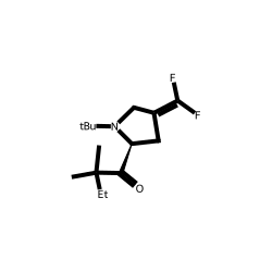 CCC(C)(C)C(=O)[C@@H]1CC(=C(F)F)CN1C(C)(C)C